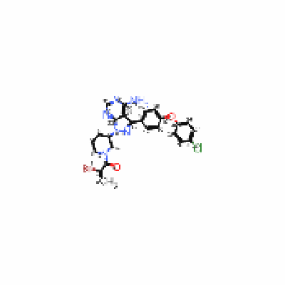 C=C(Br)C(=O)N1CCCC(n2nc(-c3ccc(Oc4ccc(Cl)cc4)cc3)c3c(N)ncnc32)C1